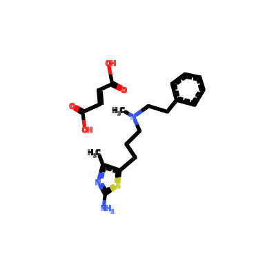 Cc1nc(N)sc1CCCN(C)CCc1ccccc1.O=C(O)C=CC(=O)O